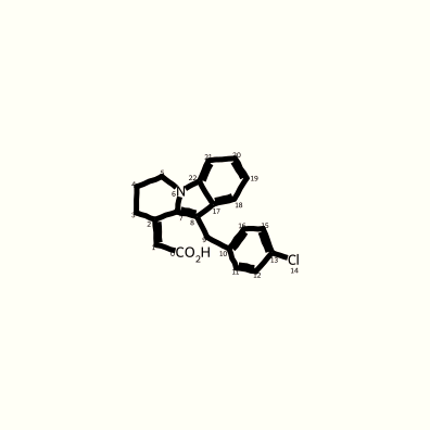 O=C(O)/C=C1/CCCn2c1c(Cc1ccc(Cl)cc1)c1ccccc12